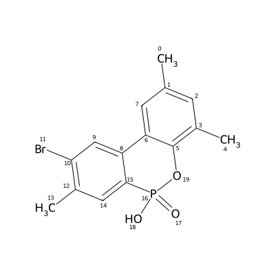 Cc1cc(C)c2c(c1)-c1cc(Br)c(C)cc1P(=O)(O)O2